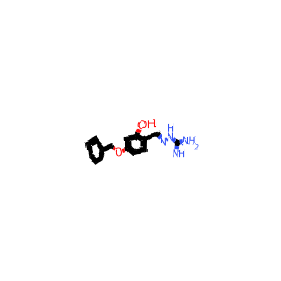 N=C(N)NN=Cc1ccc(OCc2ccccc2)cc1O